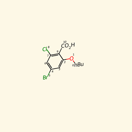 CCCCOc1cc(Br)cc(Cl)c1C(=O)O